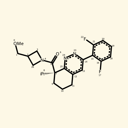 COCC1CN(C(=O)[C@]2(C(C)C)CCCc3cc(-c4c(F)cccc4F)nnc32)C1